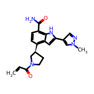 C=CC(=O)N1CC[C@H](c2ccc(C(N)=O)c3[nH]c(-c4cnn(C)c4)cc23)C1